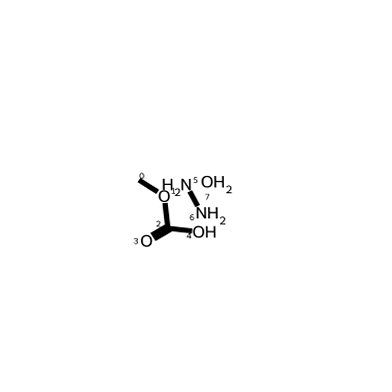 COC(=O)O.NN.O